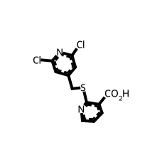 O=C(O)c1cccnc1SCc1cc(Cl)nc(Cl)c1